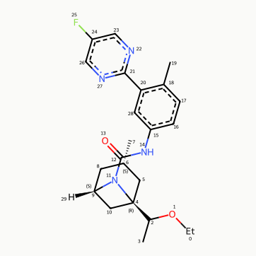 CCOC(C)[C@@]12C[C@@H](C)C[C@@H](C1)N2C(=O)Nc1ccc(C)c(-c2ncc(F)cn2)c1